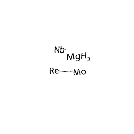 [MgH2].[Mo][Re].[Nb]